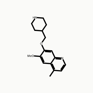 COc1cc2c(C)ccnc2cc1OCC1CCNCC1